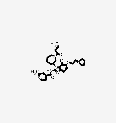 CC=CC(=O)N1CCCCC(n2c(NC(=O)c3ccnc(C)c3)nc3ccc(OCCN4CCCC4)c(Cl)c32)C1